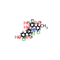 Cc1cc(Cl)c(C)c2c1c(=O)oc1c(Cl)c(O)c(O)c(Nc3ccc4c(c3Cl)c(=O)oc3c(Cl)c(O)ccc34)c12